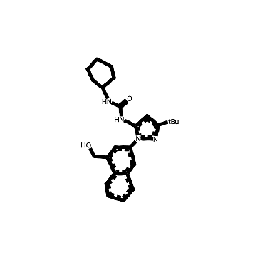 CC(C)(C)c1cc(NC(=O)NC2CCCCC2)n(-c2cc(CO)c3ccccc3c2)n1